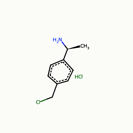 C[C@H](N)c1ccc(CCl)cc1.Cl